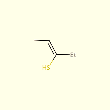 CC=C(S)CC